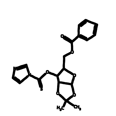 CC1(C)OC2OC(COC(=O)c3ccccc3)C(OC(=S)n3ccnc3)C2O1